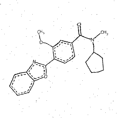 COc1cc(C(=O)N(C)C2CCCC2)ccc1-c1nc2ccccc2o1